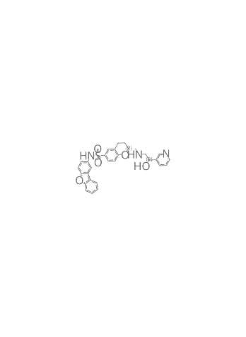 O=S(=O)(Nc1ccc2oc3ccccc3c2c1)c1ccc2c(c1)CC[C@H](CNC[C@H](O)c1cccnc1)O2